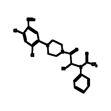 COc1cc(N2CCN(C(=O)C(C(C)C)N(C(=O)C(F)(F)F)c3ccccc3)CC2)c(Cl)cc1Cl